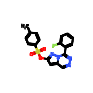 Cc1ccc(S(=O)(=O)Oc2cc3cnnc(-c4ccccc4F)n3n2)cc1